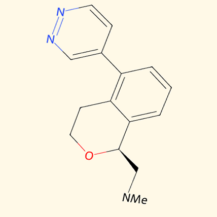 CNC[C@H]1OCCc2c(-c3ccnnc3)cccc21